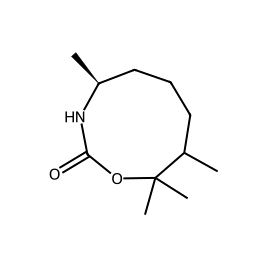 CC1CCC[C@H](C)NC(=O)OC1(C)C